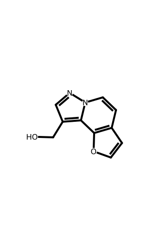 OCc1cnn2ccc3ccoc3c12